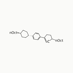 CCCCCCCCC1CC=C(c2ccc([C@H]3CC[C@H](CCCCCCCC)CC3)cc2)CC1